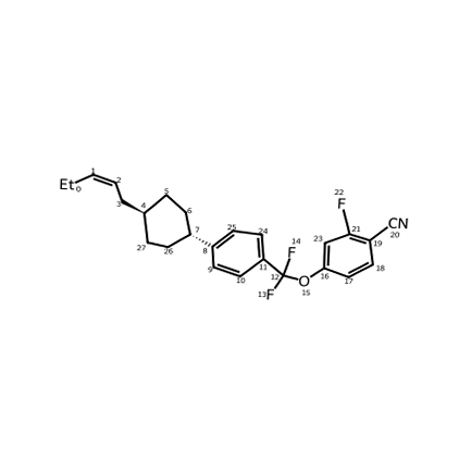 CC/C=C\C[C@H]1CC[C@H](c2ccc(C(F)(F)Oc3ccc(C#N)c(F)c3)cc2)CC1